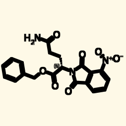 NC(=O)CC[C@@H](C(=O)OCc1ccccc1)N1C(=O)c2cccc([N+](=O)[O-])c2C1=O